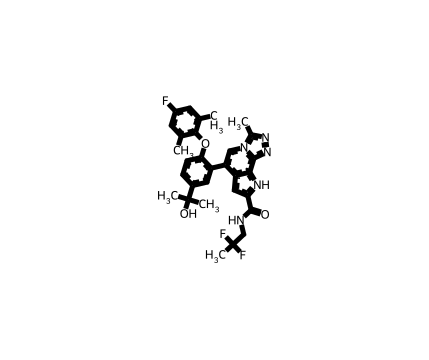 Cc1cc(F)cc(C)c1Oc1ccc(C(C)(C)O)cc1-c1cn2c(C)nnc2c2[nH]c(C(=O)NCC(C)(F)F)cc12